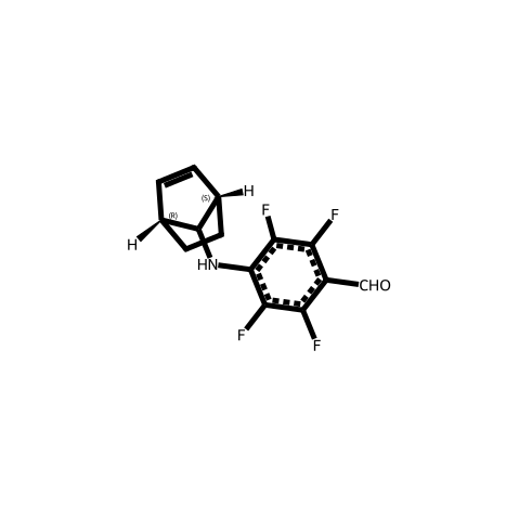 O=Cc1c(F)c(F)c(NC2[C@@H]3C=C[C@H]2CC3)c(F)c1F